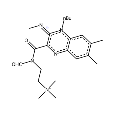 CCCCn1/c(=N/C)c(C(=O)N(C=O)CC[N+](C)(C)C)nc2cc(C)c(C)cc21